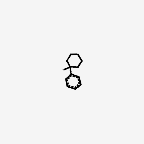 [CH2]C1(c2ccccc2)CCCCC1